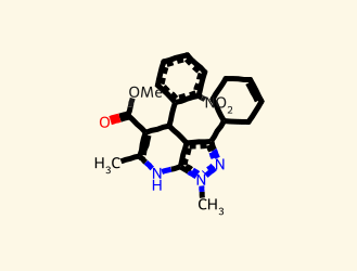 COC(=O)C1=C(C)Nc2c(c(C3CC=CCC3)nn2C)C1c1ccccc1[N+](=O)[O-]